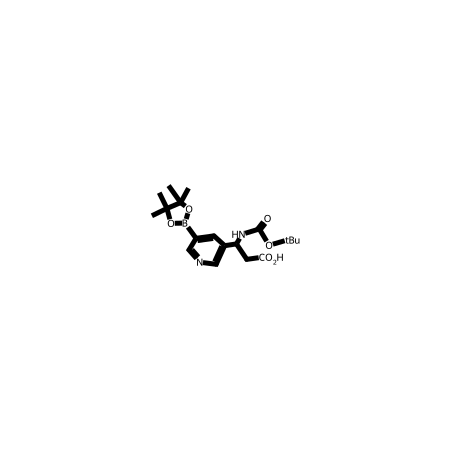 CC(C)(C)OC(=O)NC(CC(=O)O)c1cncc(B2OC(C)(C)C(C)(C)O2)c1